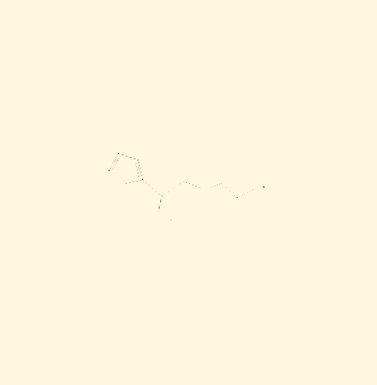 CC(COCCO)c1cccs1